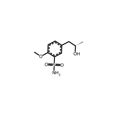 COc1ccc(C[C@H](C)O)cc1S(N)(=O)=O